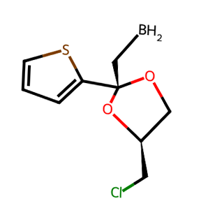 BC[C@@]1(c2cccs2)OC[C@@H](CCl)O1